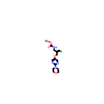 CC(C)(C)OC(=O)NC/C(=C/F)COc1cnc(N2CCOCC2)nc1